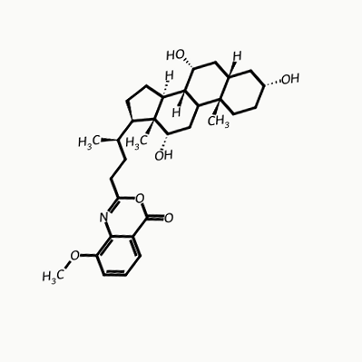 COc1cccc2c(=O)oc(CC[C@@H](C)[C@H]3CC[C@H]4[C@H]5C(C[C@H](O)[C@]34C)[C@@]3(C)CC[C@@H](O)C[C@H]3C[C@H]5O)nc12